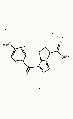 COC(=O)C1CCn2c(C(=O)c3ccc(OC)cc3)ccc21